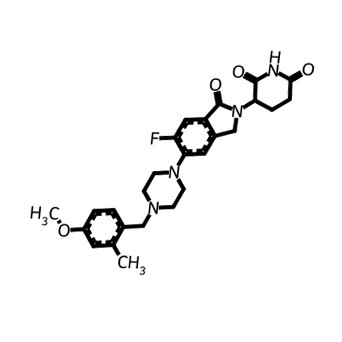 COc1ccc(CN2CCN(c3cc4c(cc3F)C(=O)N(C3CCC(=O)NC3=O)C4)CC2)c(C)c1